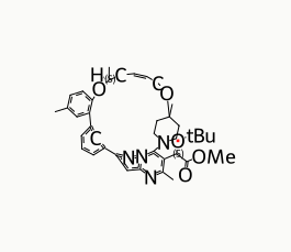 COC(=O)[C@@H](OC(C)(C)C)c1c(C)nc2cc3nn2c1N1CCC(C)(CC1)OCC=CC[C@H](C)Oc1ccc(C)cc1-c1cccc-3c1